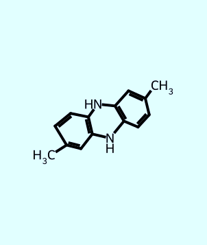 Cc1ccc2c(c1)Nc1ccc(C)cc1N2